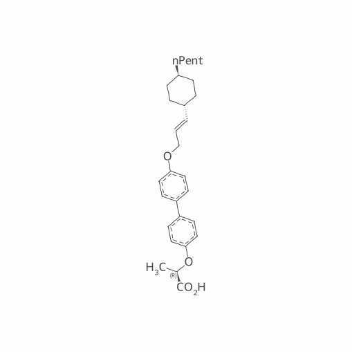 CCCCC[C@H]1CC[C@H](C=CCOc2ccc(-c3ccc(O[C@H](C)C(=O)O)cc3)cc2)CC1